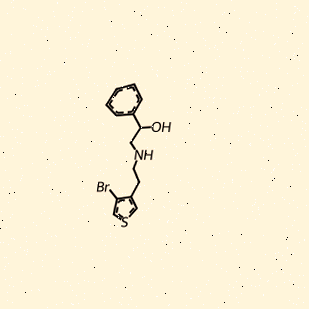 OC(CNCCc1cscc1Br)c1ccccc1